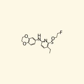 CCc1ccc(Nc2ccc3c(c2)OCCO3)nc1SOCCF